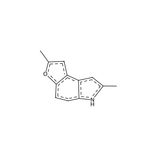 Cc1cc2c(ccc3oc(C)cc32)[nH]1